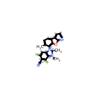 Cc1ccc2c(oc3ncccc32)c1N1c2cc(F)c(C#N)c(F)c2N(C)[C@@H]1C